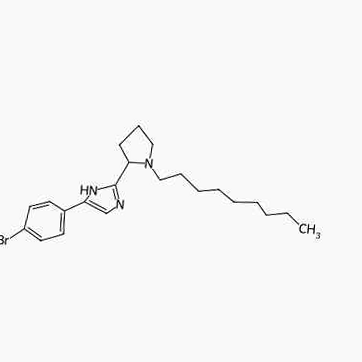 CCCCCCCCCN1CCCC1c1ncc(-c2ccc(Br)cc2)[nH]1